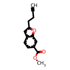 C#CCCc1cc2ccc(C(=O)OC)cc2o1